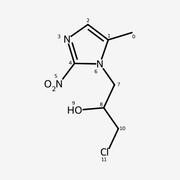 Cc1cnc([N+](=O)[O-])n1CC(O)CCl